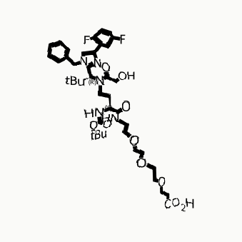 CC(C)(C)OC(=O)N[C@@H](CCN(C(=O)CO)[C@@H](c1nc(-c2cc(F)ccc2F)cn1Cc1ccccc1)C(C)(C)C)C(=O)NCCOCCOCCOCCC(=O)O